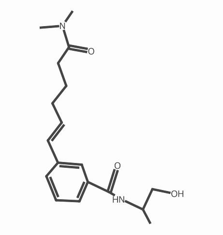 CC(CO)NC(=O)c1cccc(C=CCCCC(=O)N(C)C)c1